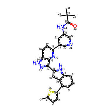 Cc1ccc(-c2cccc3[nH]c(-c4n[nH]c5ccc(-c6cncc(NC(=O)C(C)(C)C)c6)nc45)cc23)s1